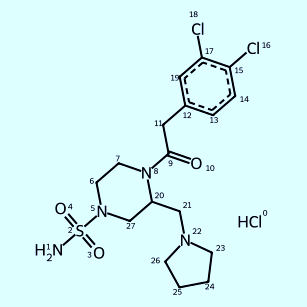 Cl.NS(=O)(=O)N1CCN(C(=O)Cc2ccc(Cl)c(Cl)c2)C(CN2CCCC2)C1